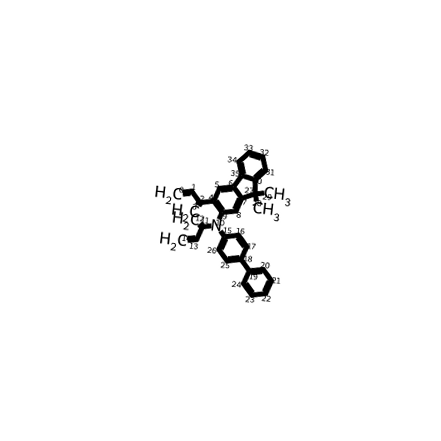 C=CC(=C)c1cc2c(cc1N(C(=C)C=C)c1ccc(-c3ccccc3)cc1)C(C)(C)c1ccccc1-2